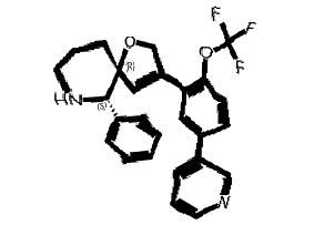 FC(F)(F)Oc1ccc(-c2cccnc2)cc1C1=C[C@@]2(CCCN[C@H]2c2ccccc2)OC1